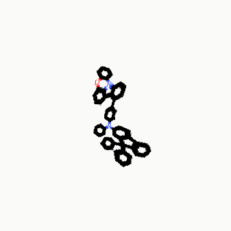 c1ccc(N(c2ccc(-c3cccc4c3c3cccc5c3n4-c3ccccc3O5)cc2)c2ccc3c(c2)C(c2ccccc2)(c2ccccc2)c2ccccc2-3)cc1